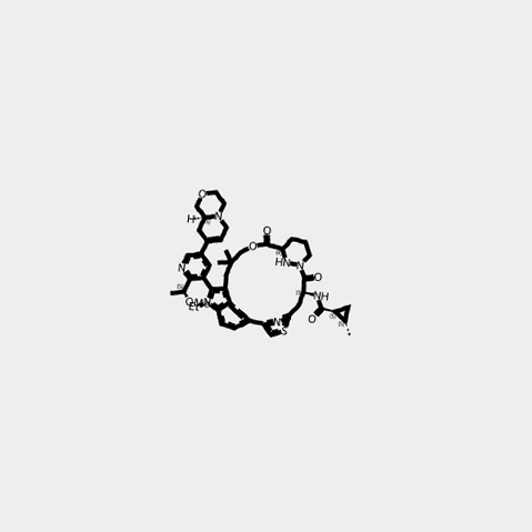 CCn1c(-c2cc(C3=CCN4CCOC[C@@H]4C3)cnc2[C@H](C)OC)c2c3cc(ccc31)-c1csc(n1)C[C@H](NC(=O)[C@H]1C[C@@H]1C)C(=O)N1CCC[C@@](C)(N1)C(=O)OCC(C)(C)C2